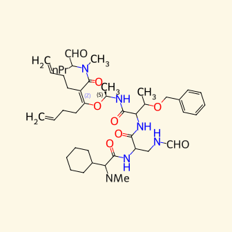 C=CCC/C(O[C@@H](C)NC(=O)C(NC(=O)C(CNC=O)NC(=O)C(NC)C1CCCCC1)C(C)OCc1ccccc1)=C(\CCC=C)C(=O)N(C)C(C=O)CCC